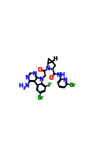 Nc1ncnc2c1c1cc(Br)cc(F)c1n2CC(=O)N1C2C[C@@H]2C[C@H]1C(=O)Nc1cccc(Br)n1